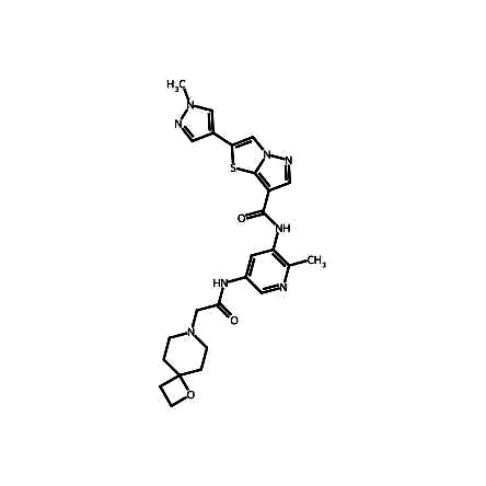 Cc1ncc(NC(=O)CN2CCC3(CCO3)CC2)cc1NC(=O)c1cnn2cc(-c3cnn(C)c3)sc12